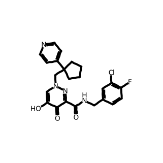 O=C(NCc1ccc(F)c(Cl)c1)c1nn(CC2(c3ccncc3)CCCC2)cc(O)c1=O